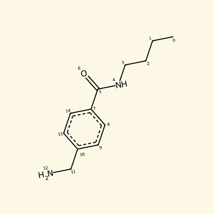 CCCCNC(=O)c1ccc(CN)cc1